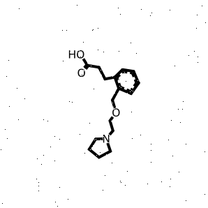 O=C(O)CCc1ccccc1COCCN1CCCC1